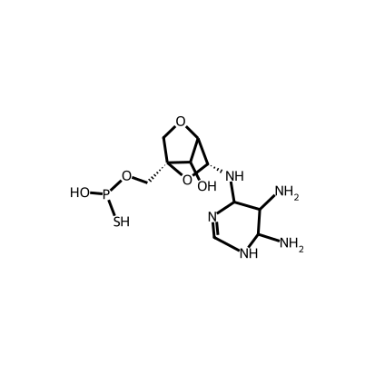 NC1NC=NC(N[C@@H]2O[C@@]3(COP(O)S)COC2C3O)C1N